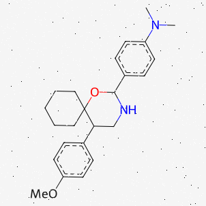 COc1ccc(C2CNC(c3ccc(N(C)C)cc3)OC23CCCCC3)cc1